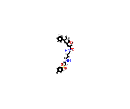 CCC(CC(CC(C)C(=O)NCCCCNCCS(=O)(=O)c1ccc(C)cc1)C(C)=O)c1ccccc1